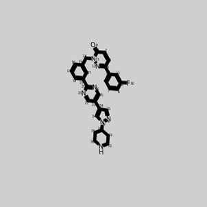 O=c1ccc(-c2cccc(F)c2)nn1Cc1cccc(-c2ncc(-c3cnn(C4CCNCC4)c3)cn2)c1